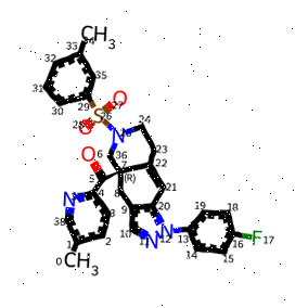 Cc1ccc(C(=O)[C@]23Cc4cnn(-c5ccc(F)cc5)c4C=C2CCN(S(=O)(=O)c2cccc(C)c2)C3)nc1